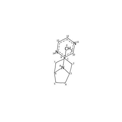 CC1CC2CCC(C1)N2c1cnccn1